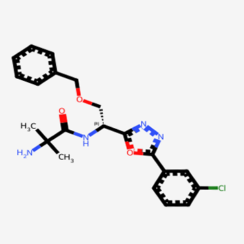 CC(C)(N)C(=O)N[C@H](COCc1ccccc1)c1nnc(-c2cccc(Cl)c2)o1